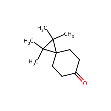 CC1(C)C(C)(C)C12CCC(=O)CC2